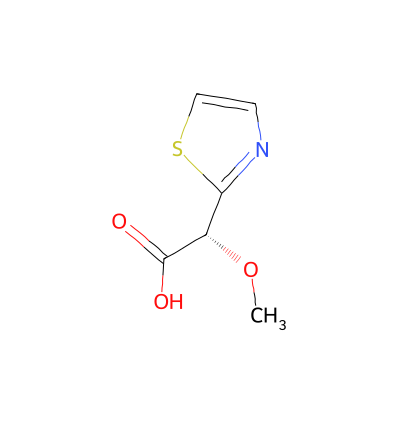 CO[C@H](C(=O)O)c1nccs1